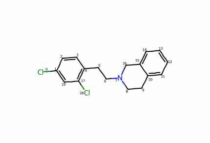 Clc1ccc(CCN2CCc3ccccc3C2)c(Cl)c1